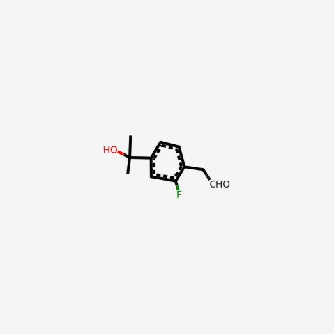 CC(C)(O)c1ccc(CC=O)c(F)c1